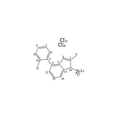 CC1=Cc2c(-c3ccccc3C)cccc2[CH]1[Zr+2].[Cl-].[Cl-]